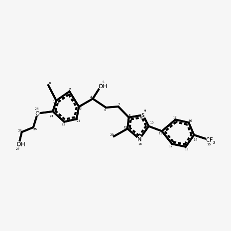 Cc1cc(C(O)CCc2sc(-c3ccc(C(F)(F)F)cc3)nc2C)ccc1OCCO